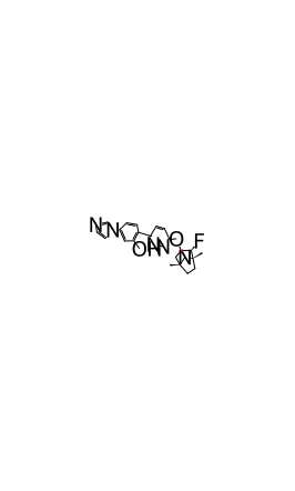 CN1[C@]2(C)CC[C@@]1(C)[C@H](F)[C@H](Oc1ccc(-c3ccc(-n4ccnc4)cc3O)nn1)C2